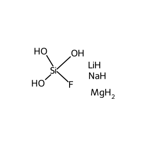 O[Si](O)(O)F.[LiH].[MgH2].[NaH]